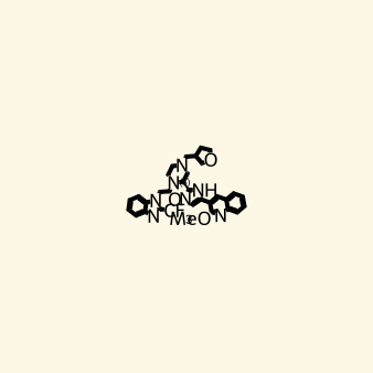 COc1nc2ccccc2cc1-c1cnc([C@@H]2CN(CC3CCOC3)CCN2C(=O)Cn2c(C(F)(F)F)nc3ccccc32)[nH]1